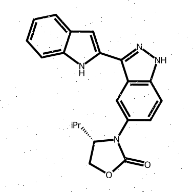 CC(C)[C@H]1COC(=O)N1c1ccc2[nH]nc(-c3cc4ccccc4[nH]3)c2c1